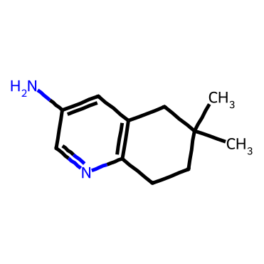 CC1(C)CCc2ncc(N)cc2C1